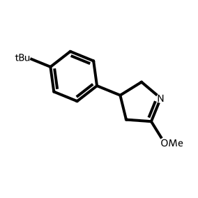 COC1=NCC(c2ccc(C(C)(C)C)cc2)C1